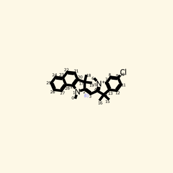 CN1/C(=C/C2=[N+](C)c3cc(Cl)ccc3C2(C)C)C(C)(C)c2ccc3ccccc3c21